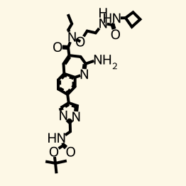 CCCN(OCCNC(=O)NC1CCC1)C(=O)C1=Cc2ccc(-c3cnc(CNC(=O)OC(C)(C)C)nc3)cc2N=C(N)C1